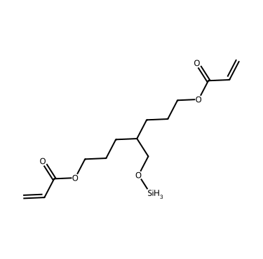 C=CC(=O)OCCCC(CCCOC(=O)C=C)CO[SiH3]